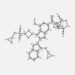 COc1cc(C(=O)N2C[C@H]3CC[C@@H]2[C@@H]3N)cc2nc(-c3cc4cccnc4n3CC3CC3)n(C3CN(S(=O)(=O)CC4CC4)C3)c12